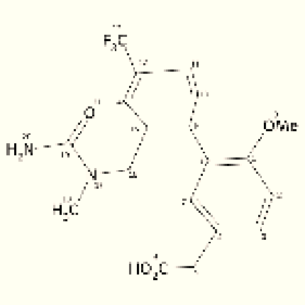 COc1ccc(CC(=O)O)cc1-c1ccc(C(F)(F)F)cc1CN(C)C(N)=O